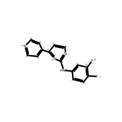 Fc1ccc(Nc2nccc(-c3ccncc3)n2)cc1F